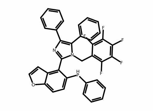 Fc1c(F)c(F)c(Cn2c(-c3c(Pc4ccccc4)ccc4occc34)nc(-c3ccccc3)c2-c2ccccc2)c(F)c1F